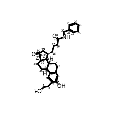 COCCc1cc2c(cc1O)CC[C@H]1[C@@H]3[C@H](CCCC(=O)NCc4ccccc4)CC(=O)[C@@]3(C)CC[C@H]21